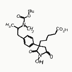 CC(Cc1ccc(C2(CCCCC(=O)O)CC(=O)N(O)C2=O)cc1)N(C)C(=O)OC(C)(C)C